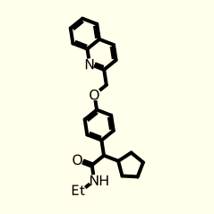 CCNC(=O)C(c1ccc(OCc2ccc3ccccc3n2)cc1)C1CCCC1